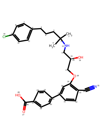 CC(C)(CCCc1ccc(Cl)cc1)NC[C@@H](O)COc1cc(-c2ccc(C(=O)O)cc2)ccc1C#N